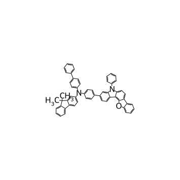 CC1(C)c2ccccc2-c2ccc(N(c3ccc(-c4ccccc4)cc3)c3ccc(-c4ccc5c6c7oc8ccccc8c7ccc6n(-c6ccccc6)c5c4)cc3)cc21